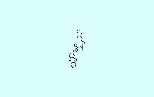 CC1(C)C(OCC=C(F)CCl)C1C(=O)OCc1ccc(F)c(Oc2ccccc2)c1